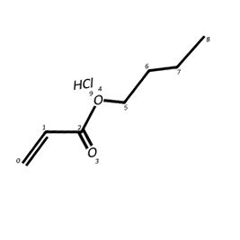 C=CC(=O)OCCCC.Cl